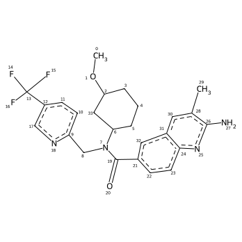 COC1CCCC(N(Cc2ccc(C(F)(F)F)cn2)C(=O)c2ccc3nc(N)c(C)cc3c2)C1